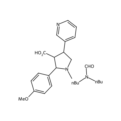 CCCCN(C=O)CCCC.COc1ccc(C2C(C(=O)O)C(c3cccnc3)CN2C)cc1